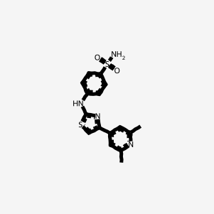 Cc1cc(-c2csc(Nc3ccc(S(N)(=O)=O)cc3)n2)cc(C)n1